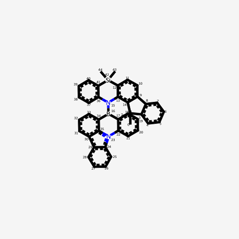 CC1(C)c2ccccc2-c2ccc3c(c21)N(B1c2ccccc2-n2c4ccccc4c4cccc1c42)c1ccccc1[Si]3(C)C